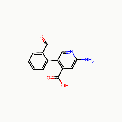 Nc1cc(C(=O)O)c(-c2ccccc2C=O)cn1